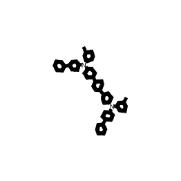 Cc1cccc(N(c2ccc(-c3ccccc3)cc2)c2ccc(-c3ccc(-c4ccc(N(c5ccc(-c6ccccc6)cc5)c5cccc(C)c5)cc4)cc3)cc2)c1